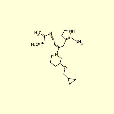 C=CC(=C)/N=C\C=C(/CC1=C(N)NCC1)N1CCCC(OCC2CC2)C1